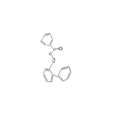 O=C(OOc1ccccc1-c1ccccc1)c1ccccc1